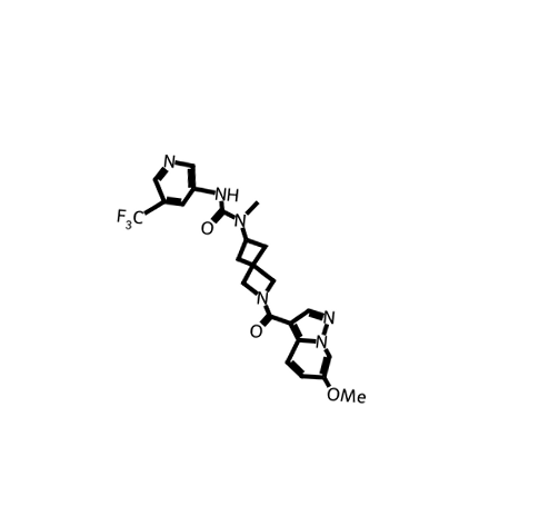 COc1ccc2c(C(=O)N3CC4(CC(N(C)C(=O)Nc5cncc(C(F)(F)F)c5)C4)C3)cnn2c1